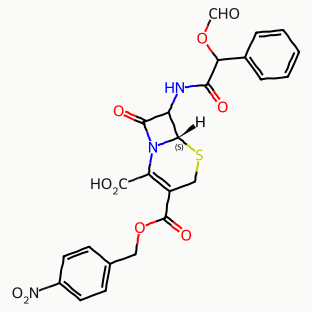 O=COC(C(=O)NC1C(=O)N2C(C(=O)O)=C(C(=O)OCc3ccc([N+](=O)[O-])cc3)CS[C@@H]12)c1ccccc1